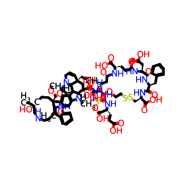 CC[C@]1(O)CCC[C@](C(=O)OC)(c2cc3c(cc2OC)N(C)[C@H]2[C@@](O)(C(=O)NNC(=O)OCCSSC[C@@H](NC(=O)[C@H](Cc4ccccc4)NC(=O)[C@H](CC(=O)O)NC(=O)CC[C@H](NC(=O)CC[C@H](NC(=S)N[C@H](CCC(=O)O)C(=O)O)C(=O)O)C(=O)O)C(=O)O)[C@H](O)[C@]4(CC)C=CCN5CC[C@]32[C@H]54)c2[nH]c3ccccc3c2CCNC1